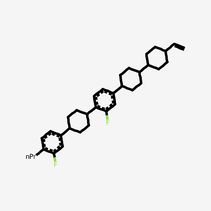 C=CC1CCC(C2CCC(c3ccc(C4CCC(c5ccc(CCC)c(F)c5)CC4)c(F)c3)CC2)CC1